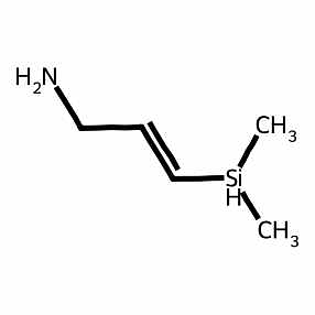 C[SiH](C)C=CCN